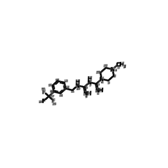 CN1CCN(C(=N)NC(=N)NCc2cccc(C(F)(F)F)c2)CC1